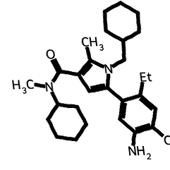 CCc1cc(C)c(N)cc1-c1cc(C(=O)N(C)C2CCCCC2)c(C)n1CC1CCCCC1